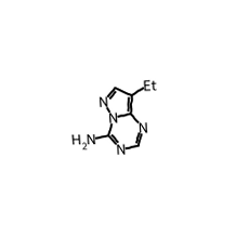 CCc1cnn2c(N)ncnc12